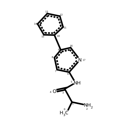 CC(N)C(=O)Nc1ccc(-c2ccccc2)cn1